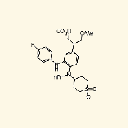 CCCN(c1ccc(C(COC)CC(=O)O)cc1Nc1ccc(F)cc1)C1CCS(=O)(=O)CC1